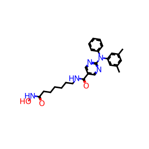 Cc1cc(C)cc(N(c2ccccc2)c2ncc(C(=O)NCCCCCCC(=O)NO)cn2)c1